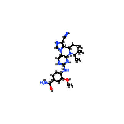 CC[C@@H]1c2c(C#N)ncn2-c2cnc(Nc3ccc(C(N)=O)cc3OC)nc2N1C(C)C